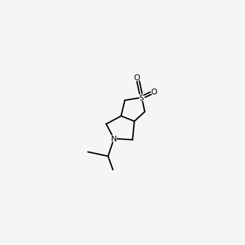 CC(C)N1CC2CS(=O)(=O)CC2C1